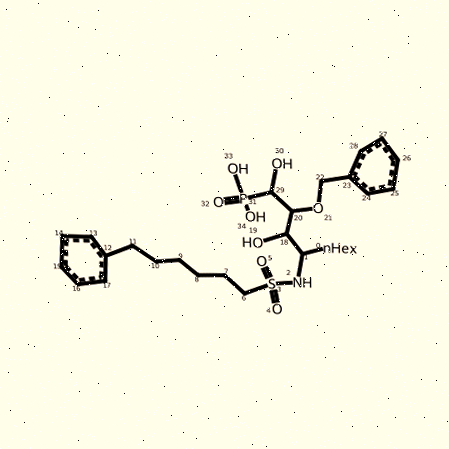 CCCCCCC(NS(=O)(=O)CCCCCCc1ccccc1)C(O)C(OCc1ccccc1)C(O)P(=O)(O)O